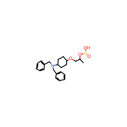 CC(COC1CCC(N(Cc2ccccc2)Cc2ccccc2)CC1)OS(=O)O